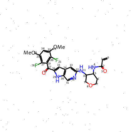 C=CC(=O)NC1CCOCC1Nc1cc2cc(C(=O)c3c(F)c(OC)cc(OC)c3F)[nH]c2cn1